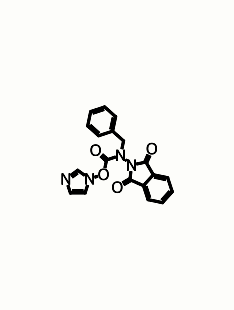 O=C(On1ccnc1)N(Cc1ccccc1)N1C(=O)c2ccccc2C1=O